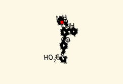 O=C(NC(c1ccccc1)c1cccc(C(=O)Oc2ccc(CCN3CCCC3C(=O)O)cc2)c1)O[C@H]1CN2CCC1CC2